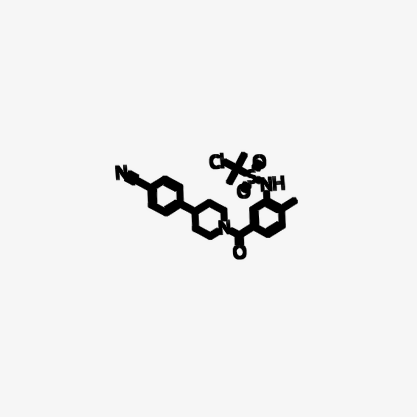 Cc1ccc(C(=O)N2CCC(c3ccc(C#N)cc3)CC2)cc1NS(=O)(=O)C(C)(C)Cl